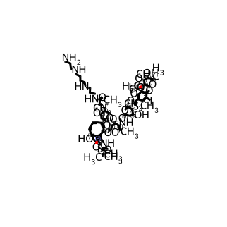 CCN(CC(=O)NCCCNCCCCNCCCN)[C@H]1CO[C@@H](O[C@H]2[C@H](O[C@H]3C#CC=CC#C[C@]4(O)CC(=O)C(NC(=O)OC)=C3/C4=C\CSSC(C)C)O[C@H](C)[C@@H](NO[C@H]3C[C@H](O)[C@H](SC(=O)c4c(C)c(I)c(O[C@@H]5O[C@@H](C)[C@H](O)[C@@H](OC)[C@H]5O)c(OC)c4OC)[C@@H](C)O3)[C@@H]2O)C[C@@H]1OC